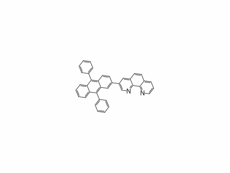 c1ccc(-c2c3ccccc3c(-c3ccccc3)c3cc(-c4cnc5c(ccc6cccnc65)c4)ccc23)cc1